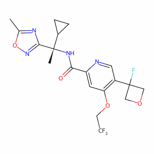 Cc1nc([C@@](C)(NC(=O)c2cc(OCC(F)(F)F)c(C3(F)COC3)cn2)C2CC2)no1